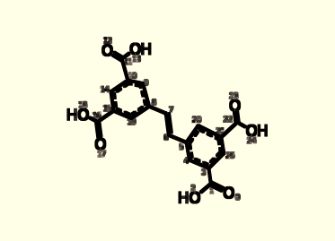 O=C(O)c1cc(C=Cc2cc(C(=O)O)cc(C(=O)O)c2)cc(C(=O)O)c1